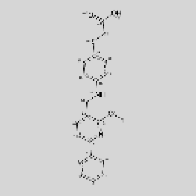 COc1nc(-c2ccccc2)ccc1CNc1ccc(SCC(=O)O)cc1